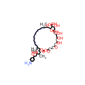 COC1/C=C/C=C/C=C/C=C/C=C/C=C/C=C/C(C)C(C(C)CC(C)C(O)CC(=O)c2ccc(N)cc2)OC(=O)OC(=O)CCCC(=O)CC(O)CC(O)CC(O)CC2(O)CC(O)C(C(=O)O)C(C1)O2